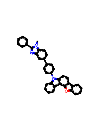 Cn1c(-c2ccccc2)nc2cc(-c3ccc(-n4c5ccccc5c5c6oc7ccccc7c6ccc54)cc3)ccc21